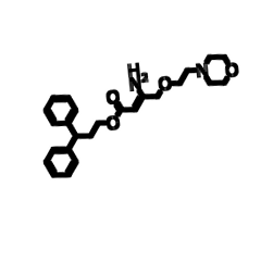 N/C(=C\C(=O)OCCC(c1ccccc1)c1ccccc1)COCCN1CCOCC1